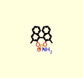 Cc1cc2ccccc2c2c1OP(N)(=O)Oc1c(C)cc3ccccc3c1-2